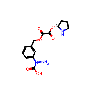 NN(C(=O)O)c1cccc(COC(=O)C(=O)O[C@@H]2CCCN2)c1